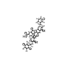 C=C1C(C)=C(C)C(=O)C(C)=C1C(C)(C)CC(=C)N(CC)c1cc2c(cc1C)C1(CC(=O)c3cc(C(=O)S)ccc31)c1cc(C)c(N(CC)C(=O)CC(C)(C)C3=C(C)C(=O)C(C)=C(C)C3=O)cc1O2